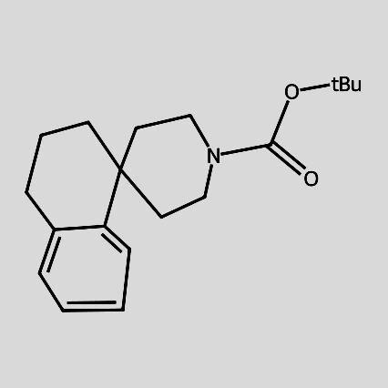 CC(C)(C)OC(=O)N1CCC2(CCCc3ccccc32)CC1